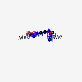 COC(=O)N[C@H](C(=O)N1CCC[C@H]1c1ncc(-c2ccc(-c3ccc(-c4cnc(C5C6CCC(C6)C5C(=O)NCc5cccnc5OC)[nH]4)cc3)cc2)[nH]1)C(C)C